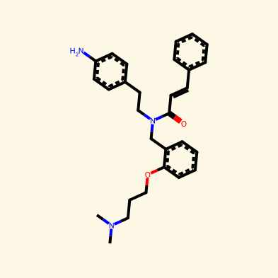 CN(C)CCCOc1ccccc1CN(CCc1ccc(N)cc1)C(=O)C=Cc1ccccc1